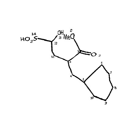 COC(=O)C(CC1CCCCC1)CC(O)S(=O)(=O)O